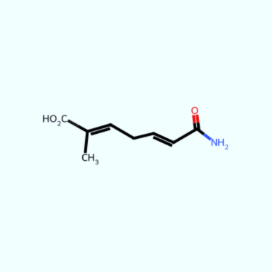 CC(=CCC=CC(N)=O)C(=O)O